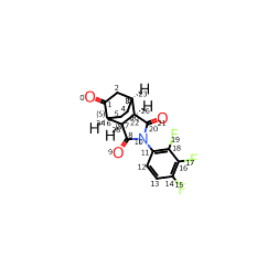 O=C1C[C@@H]2CC[C@H]1[C@@H]1C(=O)N(c3ccc(F)c(F)c3F)C(=O)[C@H]21